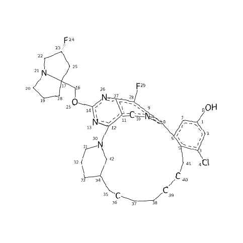 Oc1cc(Cl)c2c(c1)-c1ncc3c(nc(OCC45CCCN4C[C@H](F)C5)nc3c1F)N1CCCC(CCCCCCC2)C1